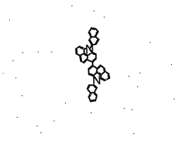 c1ccc2cc(-n3c4cccc5ccc6c(-c7ccc8c9c7ccc7cccc(c79)n8-c7ccc8ccccc8c7)ccc3c6c54)ccc2c1